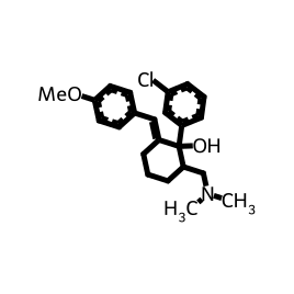 COc1ccc(/C=C2\CCCC(CN(C)C)C2(O)c2cccc(Cl)c2)cc1